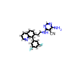 N#Cc1c(N)ncnc1NCCc1ccc2cccnc2c1-c1cc(F)cc(F)c1